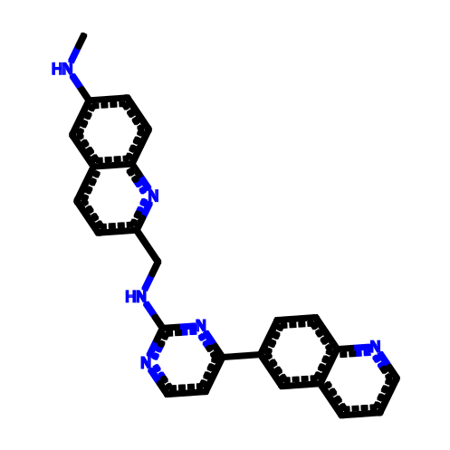 CNc1ccc2nc(CNc3nccc(-c4ccc5ncccc5c4)n3)ccc2c1